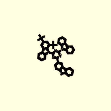 CC(C)(C)c1cc(C(C)(C)C)c2c(c1)c1ccccc1n2-c1nc(-c2ccc3sc4ccccc4c3c2)nc(-n2c3ccccc3c3ccccc32)n1